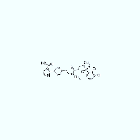 CN(CCc1ccc(C2=NCCN2C(=O)O)cc1)C(=O)CCN(C)S(=O)(=O)c1cccc(Cl)c1Cl